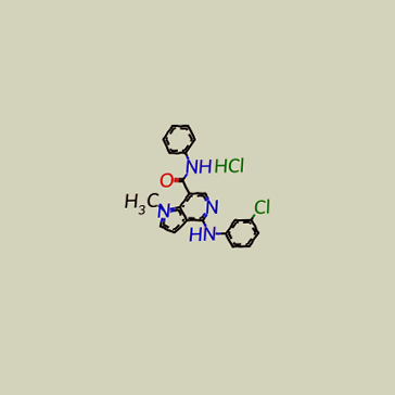 Cl.Cn1ccc2c(Nc3cccc(Cl)c3)ncc(C(=O)Nc3ccccc3)c21